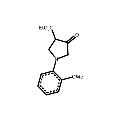 CCOC(=O)C1CN(c2ccccc2OC)CC1=O